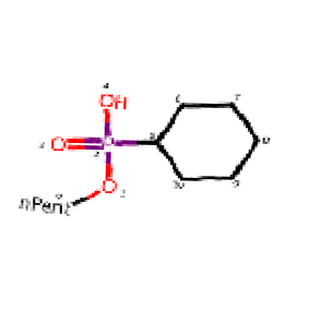 CCCCCOP(=O)(O)C1CCCCC1